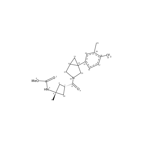 COC(=O)N[C@]1(C)C[C@H](C(=O)N2CC3CC3(c3ccc(C(F)(F)F)c(C)c3)C2)C1